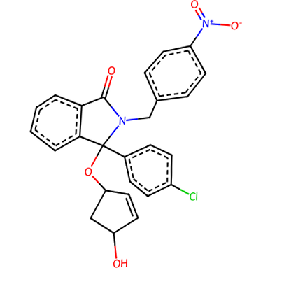 O=C1c2ccccc2C(OC2C=CC(O)C2)(c2ccc(Cl)cc2)N1Cc1ccc([N+](=O)[O-])cc1